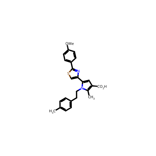 COc1ccc(-c2nc(-c3cc(C(=O)O)c(C)n3CCc3ccc(C)cc3)cs2)cc1